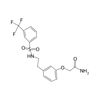 NC(=O)COc1cccc(CCNS(=O)(=O)c2cccc(C(F)(F)F)c2)c1